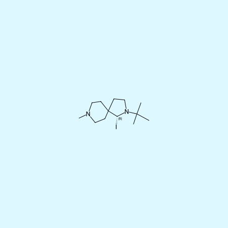 CN1CCC2(CC1)CCN(C(C)(C)C)[C@@H]2I